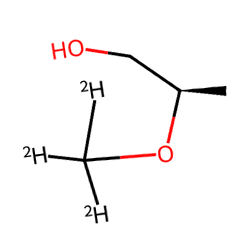 [2H]C([2H])([2H])O[C@H](C)CO